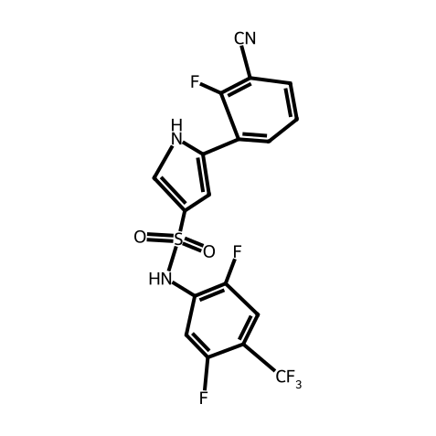 N#Cc1cccc(-c2cc(S(=O)(=O)Nc3cc(F)c(C(F)(F)F)cc3F)c[nH]2)c1F